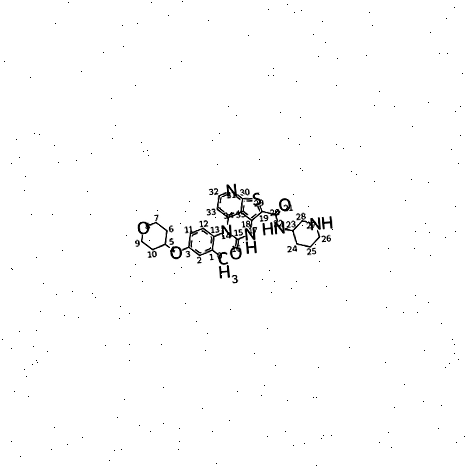 Cc1cc(OC2CCOCC2)ccc1N1C(=O)Nc2c(C(=O)N[C@@H]3CCCNC3)sc3nccc1c23